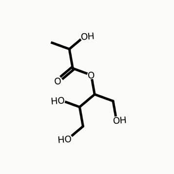 CC(O)C(=O)OC(CO)C(O)CO